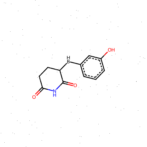 O=C1CCC(Bc2cccc(O)c2)C(=O)N1